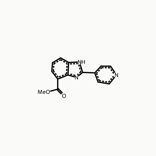 COC(=O)c1cccc2[nH]c(-c3ccncc3)nc12